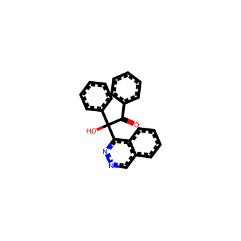 O=C(c1ccccc1)C(O)(c1ccccc1)c1nncc2ccccc12